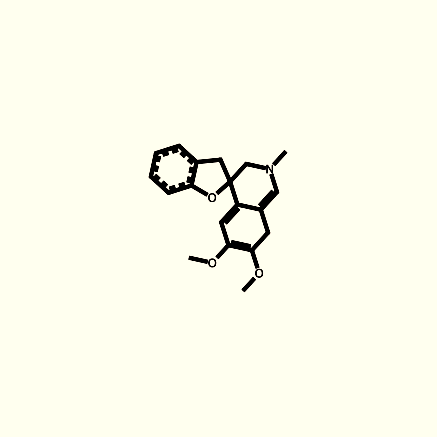 COC1=C(OC)CC2=CN(C)CC3(Cc4ccccc4O3)C2=C1